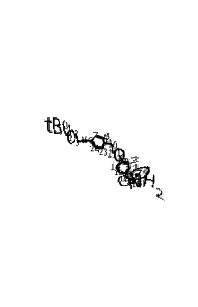 CC(C)(C)OCCC#Cc1ccc(CCOc2ccc(S(N)(=O)=O)cc2)cc1